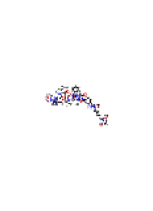 CC[C@H](C)[C@@H]([C@@H](CC(=O)N1CCC[C@H]1[C@H](OC)[C@@H](C)C(=O)N[C@@H](Cc1ccccc1)C(=O)Nc1ccc(CNC(=O)CCCCCN2C(=O)C=CC2=O)cc1)OC)N(C)C(=O)[C@@H](N=C(N(C)C)N1CCOCC1)C(C)C